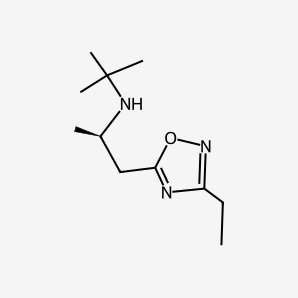 CCc1noc(C[C@@H](C)NC(C)(C)C)n1